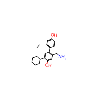 CC.NCc1cc(O)c(C2CCCCC2)cc1-c1ccc(O)cc1